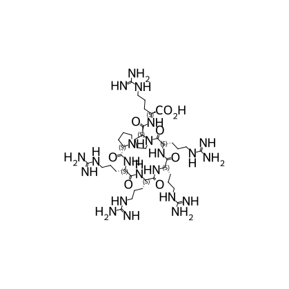 N=C(N)NCCC[C@H](NC(=O)[C@@H]1CCCN1C(=O)[C@H](CCCNC(=N)N)NC(=O)[C@H](CCCNC(=N)N)NC(=O)[C@H](CCCNC(=N)N)NC(=O)[C@H](CCCNC(=N)N)NC(=O)[C@@H]1CCCN1)C(=O)O